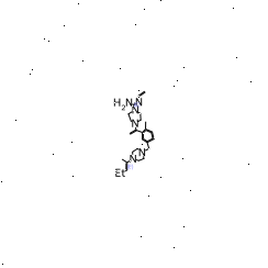 C=C/N=C(\N)N1CCN(C(=C)c2cc(CN3CCN(/C(C)=C/CC)CC3)ccc2C)CC1